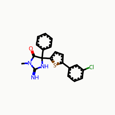 CN1C(=N)NC(c2ccccc2)(c2ccc(-c3cccc(Cl)c3)s2)C1=O